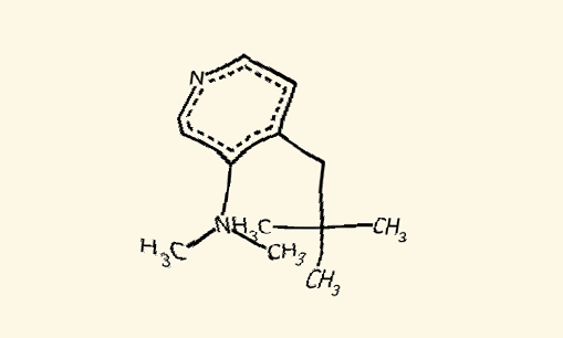 CN(C)c1cnccc1CC(C)(C)C